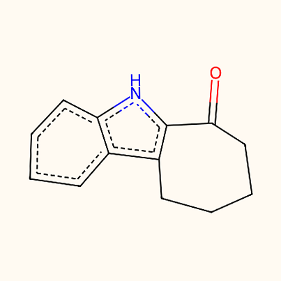 O=C1CCCCc2c1[nH]c1ccccc21